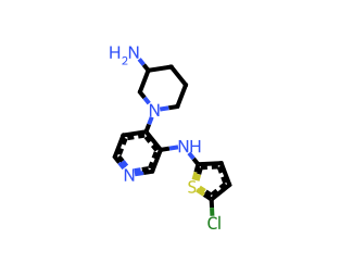 NC1CCCN(c2ccncc2Nc2ccc(Cl)s2)C1